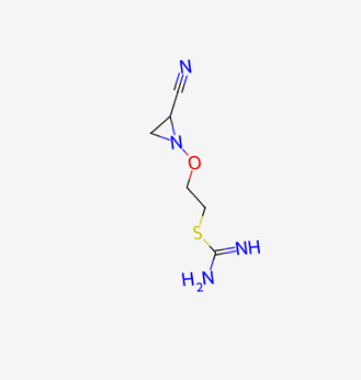 N#CC1CN1OCCSC(=N)N